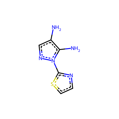 Nc1cnn(-c2nccs2)c1N